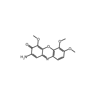 COc1ccc2nc3cc(N)c(=O)c(OC)c-3oc2c1OC